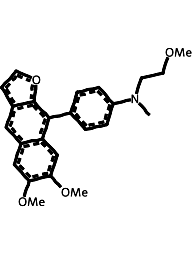 COCCN(C)c1ccc(-c2c3cc(OC)c(OC)cc3cc3ccoc23)cc1